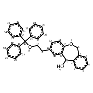 OC1c2ccccc2COc2ccc(CCOC(c3ccccc3)(c3ccccc3)c3ccccc3)cc21